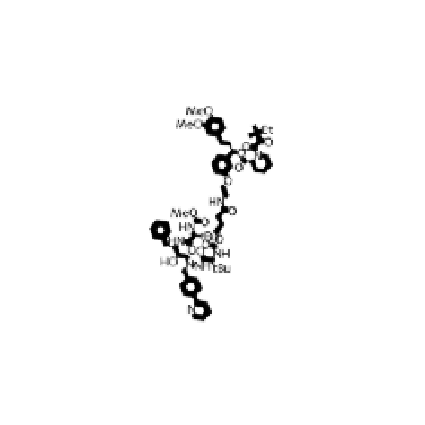 CCC(C)(C)C(=O)C(=O)N1CCCC[C@H]1C(=O)O[C@H](CCc1ccc(OC)c(OC)c1)c1cccc(OCCNC(=O)CCCOC(=O)N[C@H](C(=O)NN(Cc2ccc(-c3ccccn3)cc2)C[C@H](O)[C@H](Cc2ccccc2)NC(=O)[C@@H](NC(=O)OC)C(C)(C)C)C(C)(C)C)c1